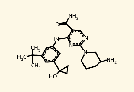 CC(C)(C)c1cc(Nc2nc(N3CCC[C@H](N)C3)ncc2C(N)=O)cc(C2(O)CC2)c1